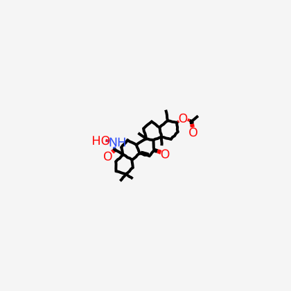 CC(=O)OC1CCC2(C)C(CCC3(C)C4CCC5(C(=O)NO)CCC(C)(C)CC5C4=CC(=O)C32)C1C